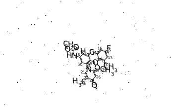 COC(=O)Nc1ccc(Oc2c(C)cc(F)cc2C)c(-n2cc(C)c(=O)cc2OC)c1